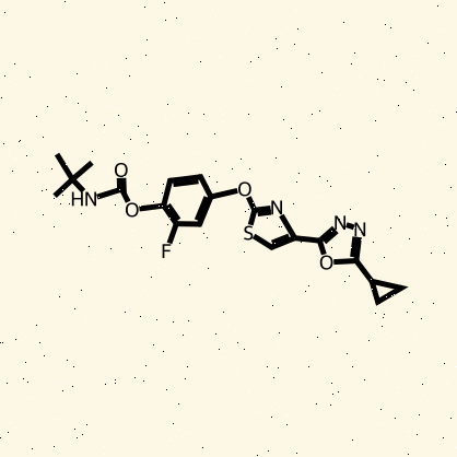 CC(C)(C)NC(=O)Oc1ccc(Oc2nc(-c3nnc(C4CC4)o3)cs2)cc1F